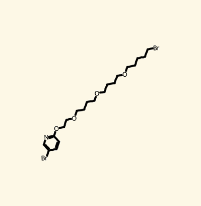 BrCCCCCOCCCCOCCCCOCCOc1ccc(Br)cn1